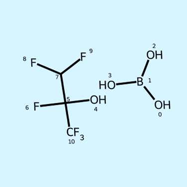 OB(O)O.OC(F)(C(F)F)C(F)(F)F